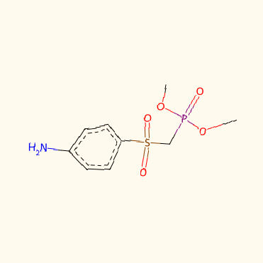 COP(=O)(CS(=O)(=O)c1ccc(N)cc1)OC